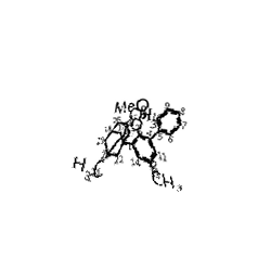 COCOc1c(-c2ccccc2)cc(C)cc1C12CC3C[C@@](C)(C1)C[C@](C)(C3)C2